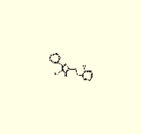 CCc1[nH]c(SCc2ccccc2Cl)nc1-c1ccccc1